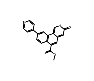 COC(=O)c1cc2c(c3cc(-c4ccncc4)ccc13)=C[N]C(=O)C=2